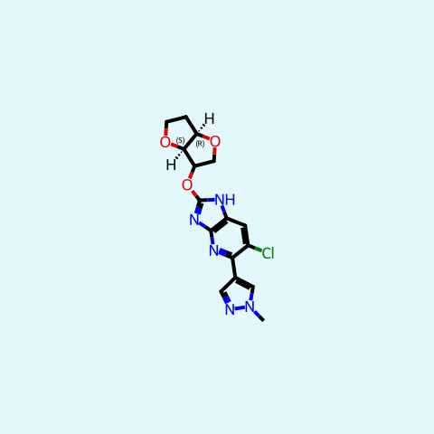 Cn1cc(-c2nc3nc(OC4CO[C@@H]5CCO[C@H]45)[nH]c3cc2Cl)cn1